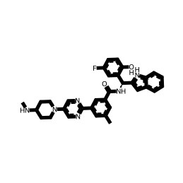 CNC1CCN(c2cnc(-c3cc(C)cc(C(=O)N[C@@H](c4cc5ccccc5[nH]4)c4cc(F)ccc4O)c3)nc2)CC1